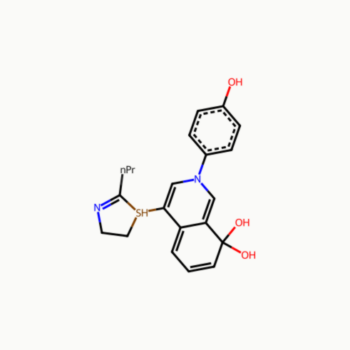 CCCC1=NCC[SH]1C1=CN(c2ccc(O)cc2)C=C2C1=CC=CC2(O)O